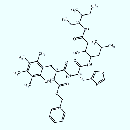 CCC(C)[C@@H](CO)NC(=O)CC(O)C(CC(C)C)NC(=O)[C@H](Cc1cscn1)NC(=O)[C@H](Cc1c(C)c(C)c(C)c(C)c1C)NC(=O)OCc1ccccc1